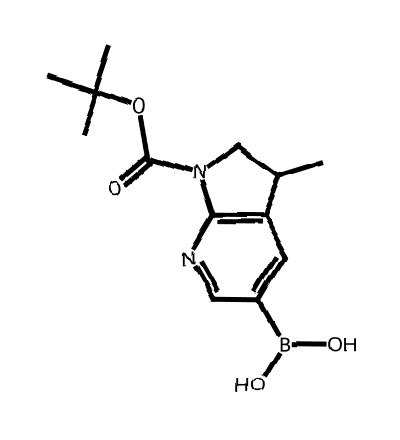 CC1CN(C(=O)OC(C)(C)C)c2ncc(B(O)O)cc21